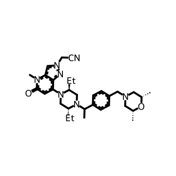 CC[C@H]1CN(C(C)c2ccc(CN3C[C@@H](C)O[C@@H](C)C3)cc2)[C@H](CC)CN1c1cc(=O)n(C)c2cn(CC#N)nc12